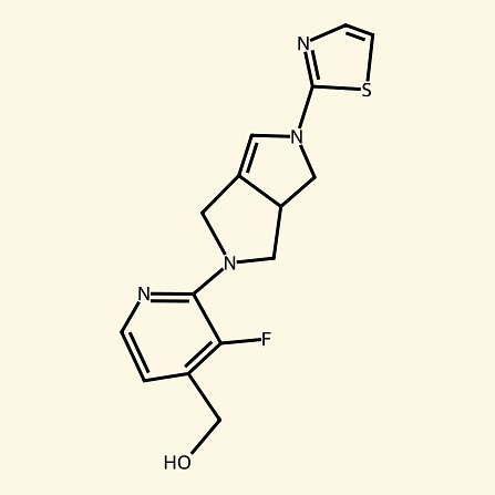 OCc1ccnc(N2CC3=CN(c4nccs4)CC3C2)c1F